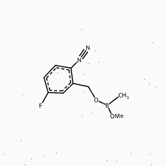 COB(C)OCc1cc(F)ccc1[N+]#N